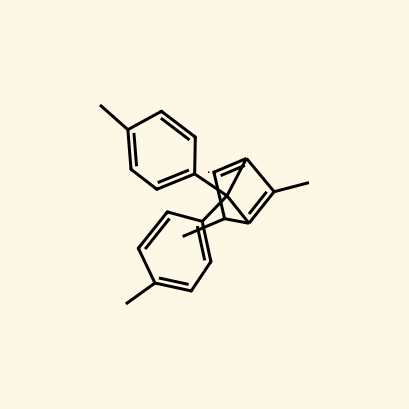 CC1=C2C(C)[C]=C1C2(c1ccc(C)cc1)c1ccc(C)cc1